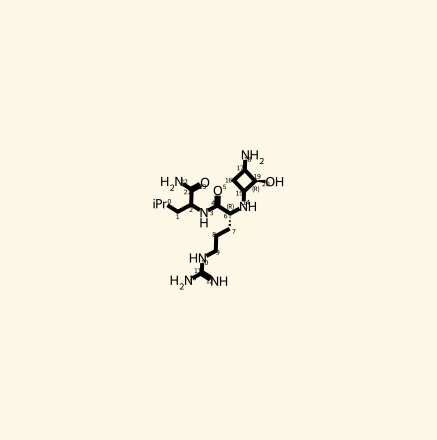 CC(C)CC(NC(=O)[C@@H](CCCNC(=N)N)NC1CC(N)[C@H]1O)C(N)=O